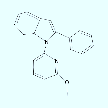 COc1cccc(N2C(c3ccccc3)=CC3=CC=CCC32)n1